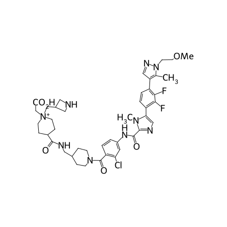 COCCn1ncc(-c2ccc(-c3cnc(C(=O)Nc4ccc(C(=O)N5CCC(CNC(=O)C6CC[N+](CC(=O)O)(CC7CNC7)CC6)CC5)c(Cl)c4)n3C)c(F)c2F)c1C